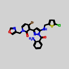 Nc1ccccc1C(=O)n1nc(-c2c(Br)ccn(Cc3cocn3)c2=O)cc1NCc1ccc(Cl)s1